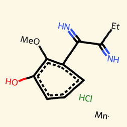 CCC(=N)C(=N)c1cccc(O)c1OC.Cl.[Mn]